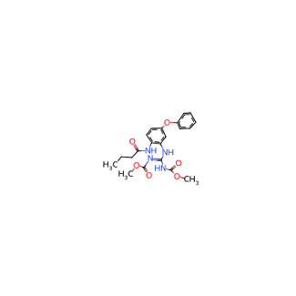 CCCC(=O)Nc1ccc(Oc2ccccc2)cc1NC(=NC(=O)OC)NC(=O)OC